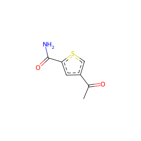 CC(=O)c1csc(C(N)=O)c1